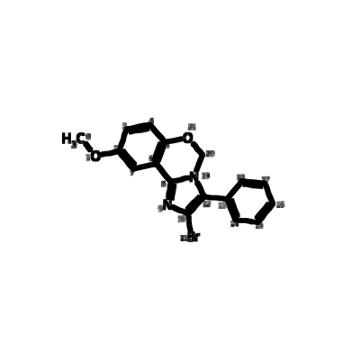 COc1ccc2c(c1)-c1nc(Br)c(-c3ccccc3)n1CO2